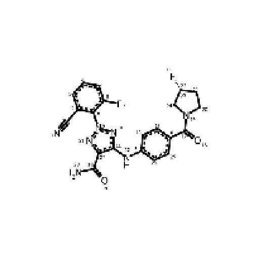 N#Cc1cccc(F)c1-n1nc(Nc2ccc(C(=O)N3CC[C@@H](F)C3)cc2)c(C(N)=O)n1